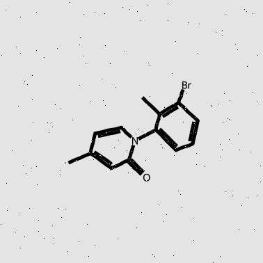 [CH2]c1ccn(-c2cccc(Br)c2C)c(=O)c1